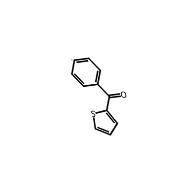 O=C(c1cc[c]cc1)c1cccs1